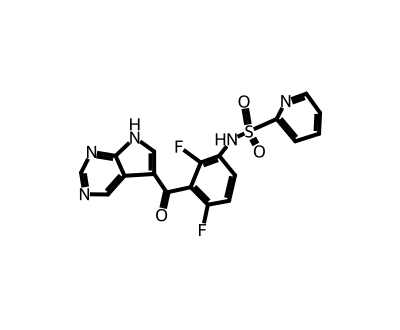 O=C(c1c(F)ccc(NS(=O)(=O)c2ccccn2)c1F)c1c[nH]c2ncncc12